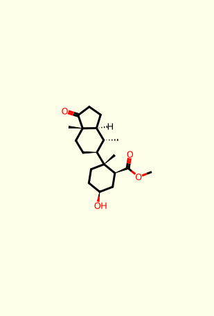 COC(=O)[C@H]1C[C@@H](O)CC[C@]1(C)[C@H]1CC[C@]2(C)C(=O)CC[C@H]2[C@@H]1C